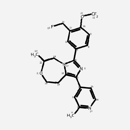 Cc1cc(-c2nc(-c3ccc(OC(F)(F)F)c(CF)c3)n3c2CCOC(C)C3)ccn1